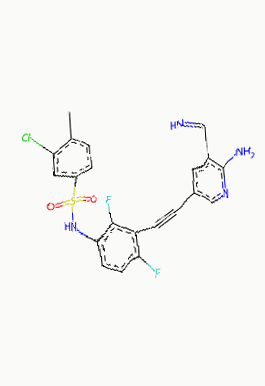 Cc1ccc(S(=O)(=O)Nc2ccc(F)c(C#Cc3cnc(N)c(C=N)c3)c2F)cc1Cl